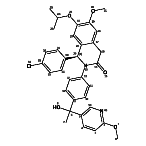 COc1ccc(C(C)(O)c2ccc(N3C(=O)Cc4cc(OC)c(OC(C)C)cc4[C@@H]3c3ccc(Cl)cc3)cc2)cn1